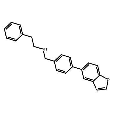 c1ccc(CCNCc2ccc(-c3ccc4ocnc4c3)cc2)cc1